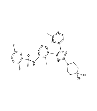 Cc1nccc(-c2sc(N3CCS(O)(O)CC3)nc2-c2cccc(NS(=O)(=O)c3cc(F)ccc3F)c2F)n1